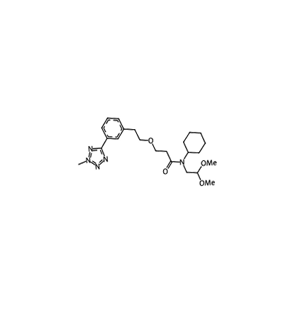 COC(CN(C(=O)CCOCCc1cccc(-c2nnn(C)n2)c1)C1CCCCC1)OC